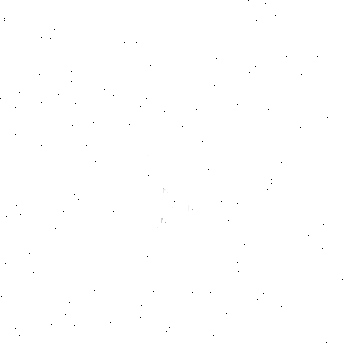 N=C(N)N1CCOC(c2ccccc2)C1